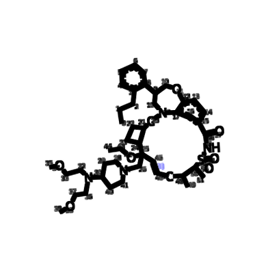 CCCc1ccccc1C1COc2ccc3cc2N(C1)CC1CCC1C(CN1CCC(N(CCOC)CCOC)CC1)(OCC)/C=C/CC(C)C(C)S(=O)(=O)NC3=O